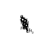 CC#C[C@]1(O)CC[C@H]2[C@@H]3CCC4=CC(=O)CC[C@@H]4[C@H]3CC[C@@]21CC